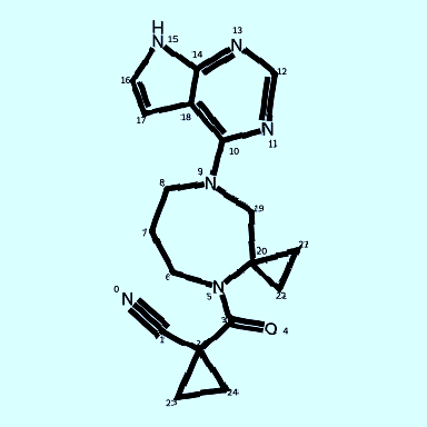 N#CC1(C(=O)N2CCCN(c3ncnc4[nH]ccc34)CC23CC3)CC1